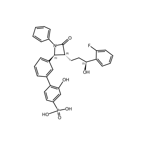 O=C1[C@H](CC[C@H](O)c2ccccc2F)[C@@H](c2cccc(-c3ccc(P(=O)(O)O)cc3O)c2)N1c1ccccc1